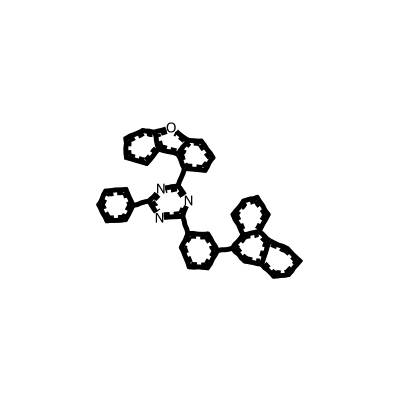 c1ccc(-c2nc(-c3cccc(-c4cc5ccccc5c5ccccc45)c3)nc(-c3cccc4oc5ccccc5c34)n2)cc1